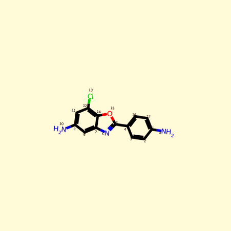 Nc1ccc(-c2nc3cc(N)cc(Cl)c3o2)cc1